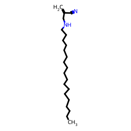 C=C(C#N)CNCCCCCCCCCCCCCCCCCC